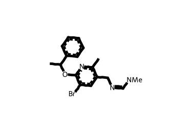 CN/C=N\Cc1cc(Br)c(OC(C)c2ccccc2)nc1C